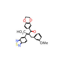 COc1cccc(CC(C(=O)c2ccc3c(c2)OCCO3)=C(C(=O)O)c2ccc3nsnc3c2)c1